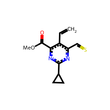 C=Cc1c(C=S)nc(C2CC2)nc1C(=O)OC